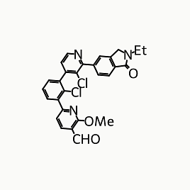 [CH2]CN1Cc2cc(-c3nccc(-c4cccc(-c5ccc(C=O)c(OC)n5)c4Cl)c3Cl)ccc2C1=O